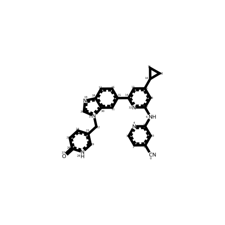 N#Cc1ccnc(Nc2cc(C3CC3)cc(-c3ccc4ncn(Cc5ccc(=O)[nH]c5)c4c3)n2)c1